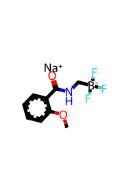 COc1ccccc1C(=O)NC[B-](F)(F)F.[Na+]